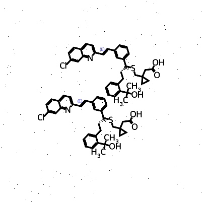 CC(C)(O)c1ccccc1CC[C@@H](SCC1(CC(=O)O)CC1)c1cccc(/C=C/c2ccc3ccc(Cl)cc3n2)c1.CC(C)(O)c1ccccc1CC[C@@H](SCC1(CC(=O)O)CC1)c1cccc(/C=C/c2ccc3ccc(Cl)cc3n2)c1